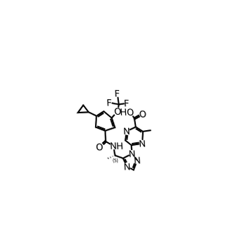 Cc1nc(-n2ncnc2[C@H](C)NC(=O)c2cc(OC(F)(F)F)cc(C3CC3)c2)cnc1C(=O)O